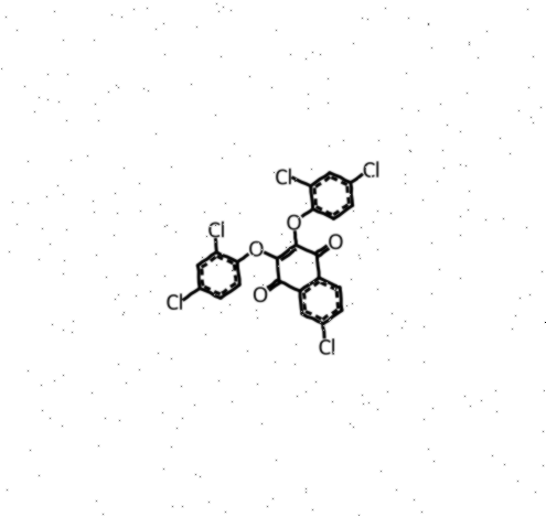 O=C1C(Oc2ccc(Cl)cc2Cl)=C(Oc2ccc(Cl)cc2Cl)C(=O)c2cc(Cl)ccc21